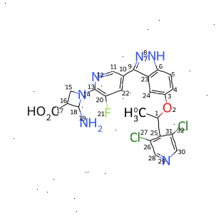 CC(Oc1ccc2[nH]nc(-c3cnc(N4CC(C(=O)O)C4N)c(F)c3)c2c1)c1c(Cl)cncc1Cl